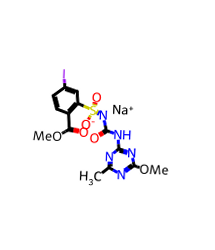 COC(=O)c1ccc(I)cc1S(=O)([O-])=NC(=O)Nc1nc(C)nc(OC)n1.[Na+]